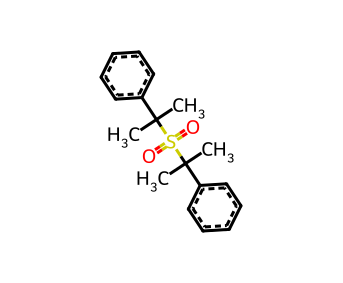 CC(C)(c1ccccc1)S(=O)(=O)C(C)(C)c1ccccc1